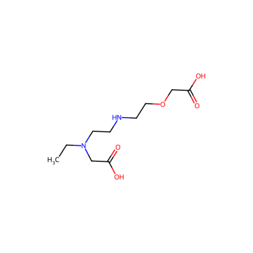 CCN(CCNCCOCC(=O)O)CC(=O)O